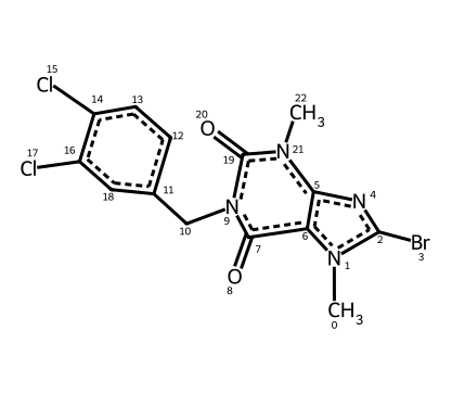 Cn1c(Br)nc2c1c(=O)n(Cc1ccc(Cl)c(Cl)c1)c(=O)n2C